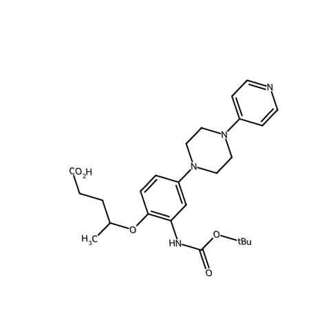 CC(CCC(=O)O)Oc1ccc(N2CCN(c3ccncc3)CC2)cc1NC(=O)OC(C)(C)C